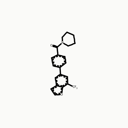 O=C(c1ccc(-c2cc(C(F)(F)F)c3occc3c2)cc1)N1CCCCC1